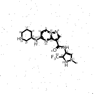 CN1C=C(NC(=O)c2cnn3ccc(NC4CCCNC4)nc23)C(C(F)(F)F)N1